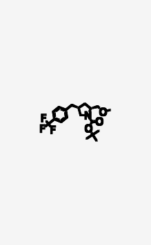 COC[C@@H]1C[C@H](Cc2ccc(C(F)(F)F)cc2)CN1C(=O)OC(C)(C)C